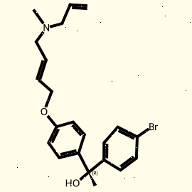 C=CCN(C)CC=CCOc1ccc([C@@](C)(O)c2ccc(Br)cc2)cc1